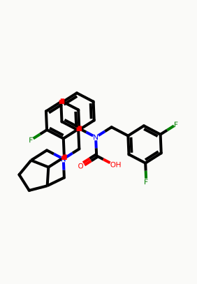 O=C(O)N(Cc1cc(F)cc(F)c1)c1cccc(F)c1CC1C2CCC1CN(Cc1ccccc1)C2